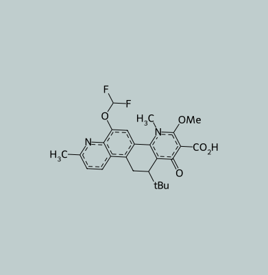 COc1c(C(=O)O)c(=O)c2c(n1C)-c1cc(OC(F)F)c3nc(C)ccc3c1CC2C(C)(C)C